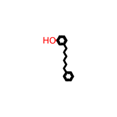 Oc1cccc(CCCCCCc2ccccc2)c1